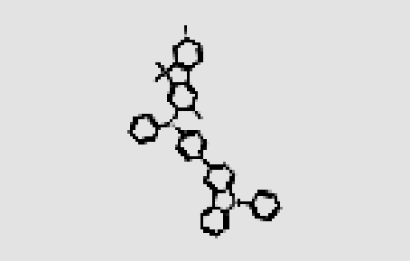 CC1C=C2C(=CC1N(c1ccccc1)c1ccc(-c3ccc4c(c3)c3ccccc3n4-c3ccccc3)cc1)C(C)(C)C1=C2C=C[C@H](C)C1